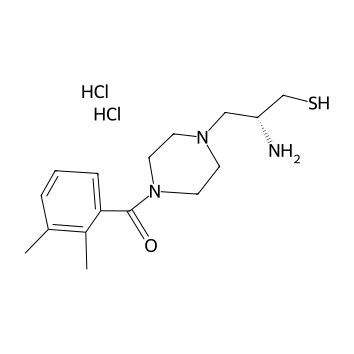 Cc1cccc(C(=O)N2CCN(C[C@@H](N)CS)CC2)c1C.Cl.Cl